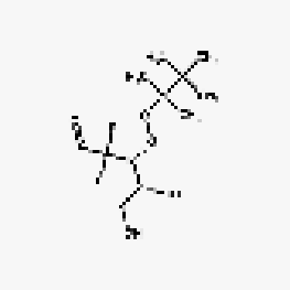 CC(C)(C)[Si](C)(C)OO[C@H]([C@H](O)CO)C(F)(F)C=O